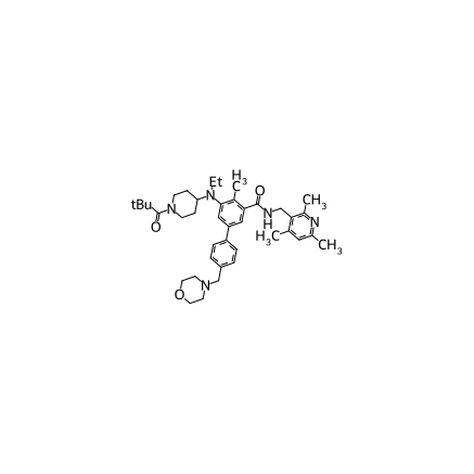 CCN(c1cc(-c2ccc(CN3CCOCC3)cc2)cc(C(=O)NCc2c(C)cc(C)nc2C)c1C)C1CCN(C(=O)C(C)(C)C)CC1